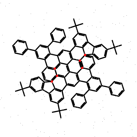 CC(C)(C)c1ccc2c(c1)-c1cc(C(C)(C)C)cc3c1B2c1cc2c(-c4c(-c5ccccc5)cc(-c5ccccc5)cc4-c4ccccc4)cc4c5c(cc6c(-c7c(-c8ccccc8)cc(-c8ccccc8)cc7-c7ccccc7)cc-3c1c6c25)B1c2ccc(C(C)(C)C)cc2-c2cc(C(C)(C)C)cc-4c21